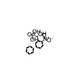 O=[N+]([O-])c1ccccc1C(O)P(=O)(O)O.c1ccccc1